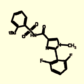 Cn1cc(C(=O)NS(=O)(=O)c2ccccc2C(C)(C)C)nc1-c1c(F)cccc1F